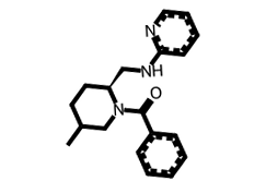 CC1CC[C@@H](CNc2ccccn2)N(C(=O)c2ccccc2)C1